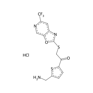 Cl.NCc1ccc(C(=O)CSc2nc3cc(C(F)(F)F)ncc3o2)s1